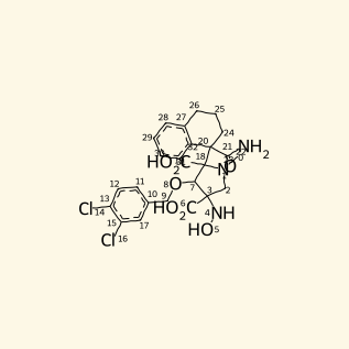 CN1CC(NO)(C(=O)O)C(OCc2ccc(Cl)c(Cl)c2)C1(C(=O)O)C1(C(N)=O)CCCc2ccccc21